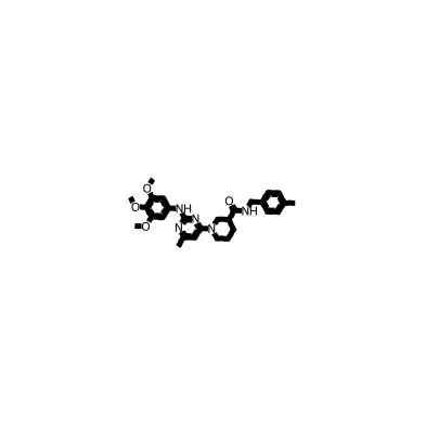 COc1cc(Nc2nc(C)cc(N3CCCC(C(=O)NCc4ccc(C)cc4)C3)n2)cc(OC)c1OC